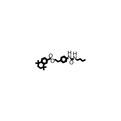 CCCCNC(=O)Nc1ccc(CCOC(=O)c2ccc3c(c2)C(C)(C)CCC3(C)C)cc1